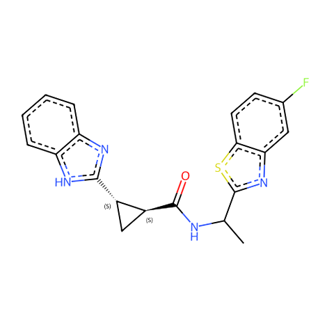 CC(NC(=O)[C@H]1C[C@@H]1c1nc2ccccc2[nH]1)c1nc2cc(F)ccc2s1